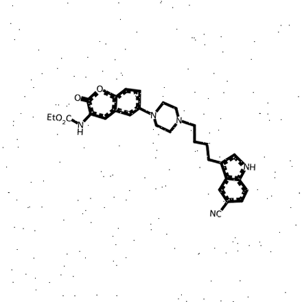 CCOC(=O)Nc1cc2cc(N3CCN(CCCCc4c[nH]c5ccc(C#N)cc45)CC3)ccc2oc1=O